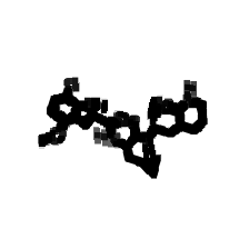 COc1ccc(Cl)c2[nH]c(C(=O)NC(CC3CC3)C(=O)N[C@H](C#N)CC3CCCNC3=O)cc12